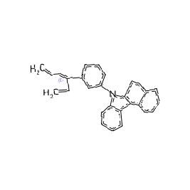 C=C/C=C(\C=C)c1cccc(-n2c3ccccc3c3c4ccccc4ccc32)c1